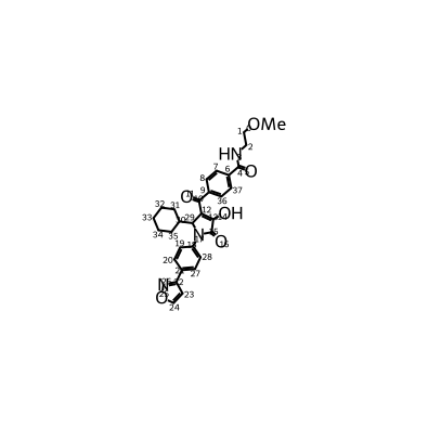 COCCNC(=O)c1ccc(C(=O)C2=C(O)C(=O)N(c3ccc(-c4ccon4)cc3)C2C2CCCCC2)cc1